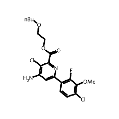 CCCCOCCOC(=O)c1nc(-c2ccc(Cl)c(OC)c2F)cc(N)c1Cl